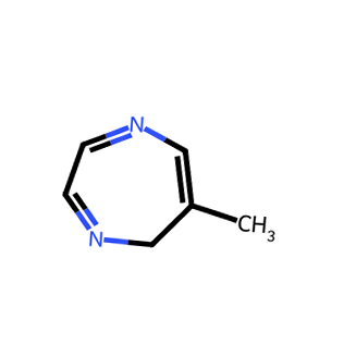 CC1=CN=CC=NC1